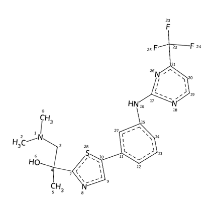 CN(C)CC(C)(O)c1ncc(-c2cccc(Nc3nccc(C(F)(F)F)n3)c2)s1